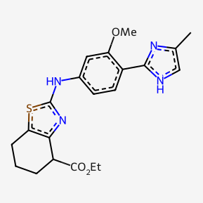 CCOC(=O)C1CCCc2sc(Nc3ccc(-c4nc(C)c[nH]4)c(OC)c3)nc21